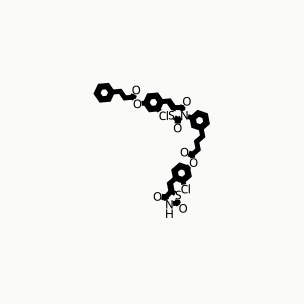 O=C(CCCc1cccc(N2C(=O)S/C(=C\c3ccc(OC(=O)CCc4ccccc4)cc3Cl)C2=O)c1)Oc1ccc(/C=C2\SC(=O)NC2=O)c(Cl)c1